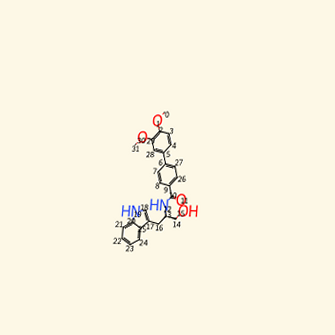 COc1ccc(-c2ccc(C(=O)N[C@@H](CO)Cc3c[nH]c4ccccc34)cc2)cc1OC